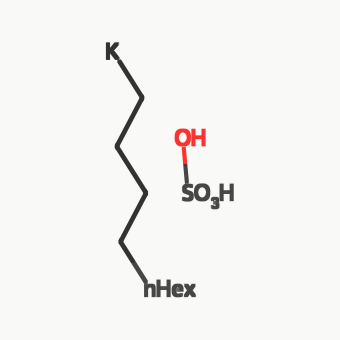 CCCCCCCCC[CH2][K].O=S(=O)(O)O